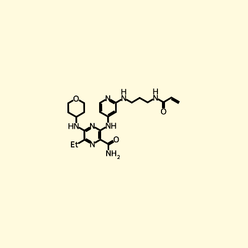 C=CC(=O)NCCCNc1cc(Nc2nc(NC3CCOCC3)c(CC)nc2C(N)=O)ccn1